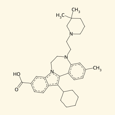 Cc1ccc2c(c1)N(CCN1CCCC(C)(C)C1)CCn1c-2c(C2CCCCC2)c2ccc(C(=O)O)cc21